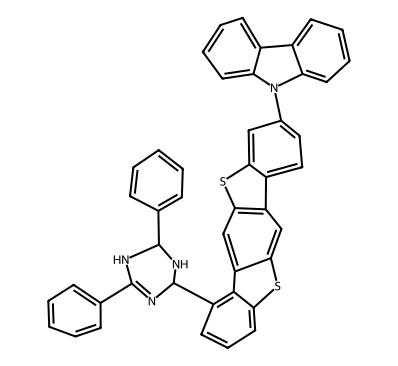 c1ccc(C2=NC(c3cccc4sc5cc6c(cc5c34)sc3cc(-n4c5ccccc5c5ccccc54)ccc36)NC(c3ccccc3)N2)cc1